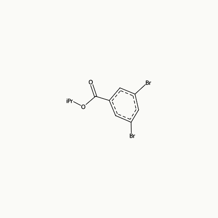 CC(C)OC(=O)c1cc(Br)cc(Br)c1